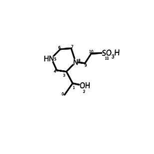 CC(O)C1CNCCN1CCS(=O)(=O)O